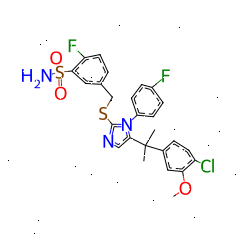 COc1cc(C(C)(C)c2cnc(SCc3ccc(F)c(S(N)(=O)=O)c3)n2-c2ccc(F)cc2)ccc1Cl